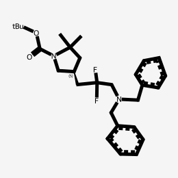 CC(C)(C)OC(=O)N1C[C@H](CC(F)(F)CN(Cc2ccccc2)Cc2ccccc2)CC1(C)C